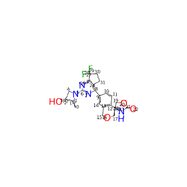 C[C@H]1[C@H](O)CN1c1nc(-c2ccc3c(c2)COC[C@]32COC(=O)N2)c2c(n1)C(F)(F)CC2